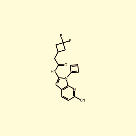 N#Cc1ccc2nc(NC(=O)CC3CC(F)(F)C3)n(C3=CC=C3)c2n1